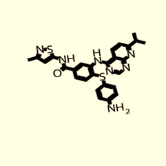 Cc1cc(NC(=O)c2ccc(Sc3ccc(N)cc3)c(Nc3ncnc4nc(C(C)C)ccc34)c2)sn1